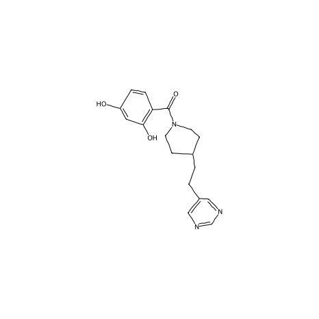 O=C(c1ccc(O)cc1O)N1CCC(CCc2cncnc2)CC1